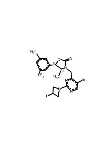 Cc1cc([C@H]2OC(=O)N(Cc3nc(N4CC(F)C4)ncc3Br)[C@H]2C)cc(C(F)(F)F)c1